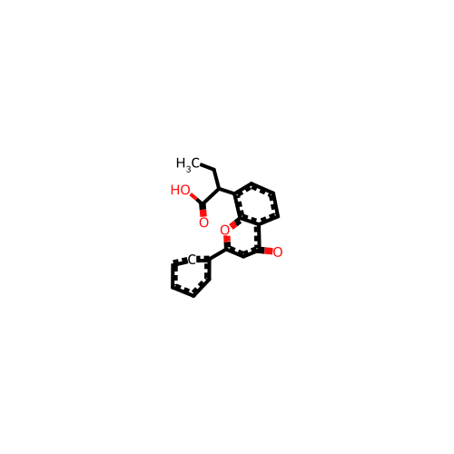 CCC(C(=O)O)c1cccc2c(=O)cc(-c3ccccc3)oc12